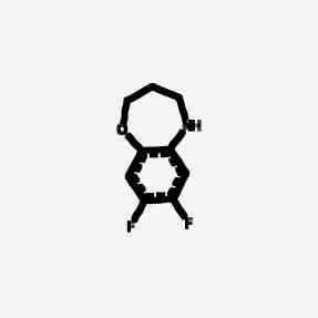 Fc1cc2c(cc1F)OCCCN2